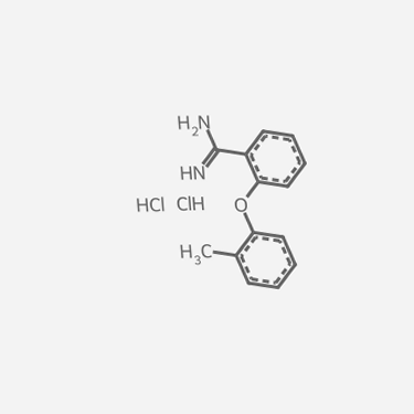 Cc1ccccc1Oc1ccccc1C(=N)N.Cl.Cl